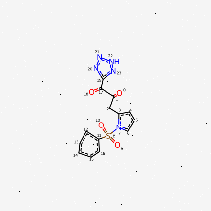 O=C(Cc1cccn1S(=O)(=O)c1ccccc1)C(=O)c1nn[nH]n1